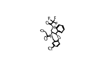 O=C(CCl)N1c2cc(Cl)ccc2OC(c2ccccc2)C1CNC(=O)C(F)(F)F